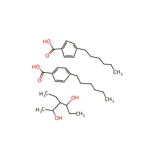 CCC(O)C(CC)C(C)O.CCCCCCc1ccc(C(=O)O)cc1.CCCCCCc1ccc(C(=O)O)cc1